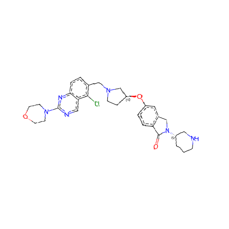 O=C1c2ccc(O[C@H]3CCN(Cc4ccc5nc(N6CCOCC6)ncc5c4Cl)C3)cc2CN1[C@H]1CCCNC1